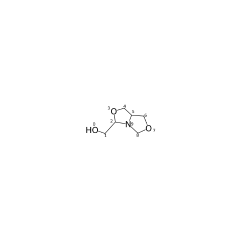 OCC1OCC2COCN21